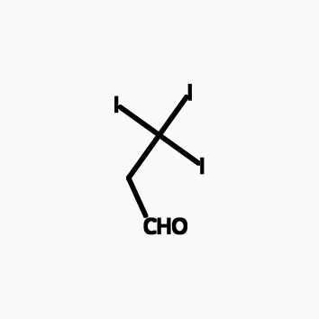 O=CCC(I)(I)I